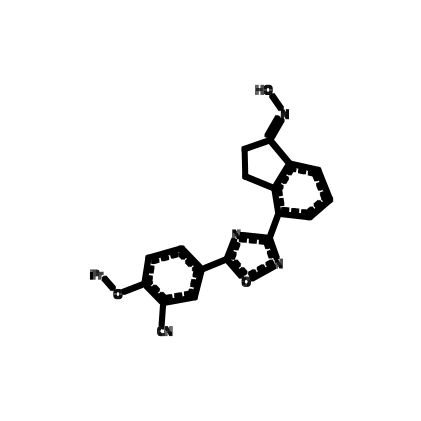 CC(C)Oc1ccc(-c2nc(-c3cccc4c3CCC4=NO)no2)cc1C#N